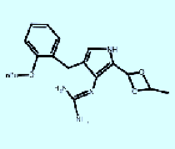 CCCCOc1ccccc1Cc1c[nH]c(C2OC(C)O2)c1N=C(N)N